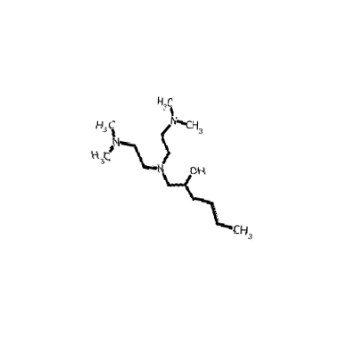 CCCCC(O)CN(CCN(C)C)CCN(C)C